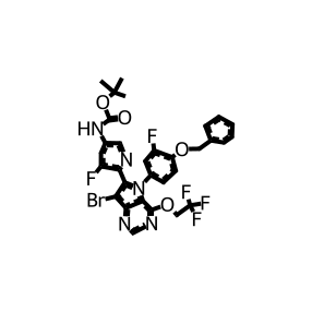 CC(C)(C)OC(=O)Nc1cnc(-c2c(Br)c3ncnc(OCC(F)(F)F)c3n2-c2ccc(OCc3ccccc3)c(F)c2)c(F)c1